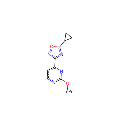 CCCOc1nccc(-c2noc(C3CC3)n2)n1